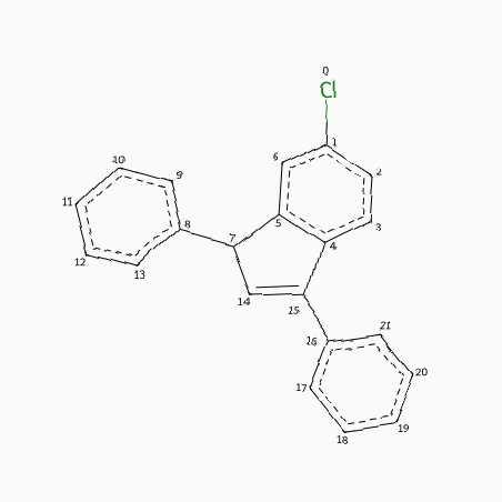 Clc1ccc2c(c1)C(c1ccccc1)C=C2c1ccccc1